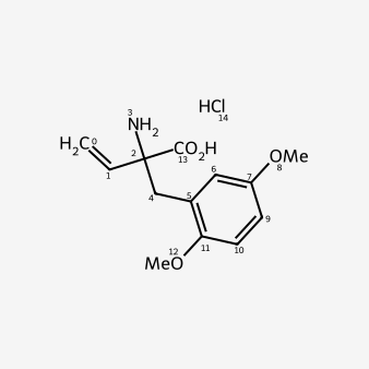 C=CC(N)(Cc1cc(OC)ccc1OC)C(=O)O.Cl